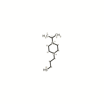 CC(C)N1CCN(CCCS)CC1